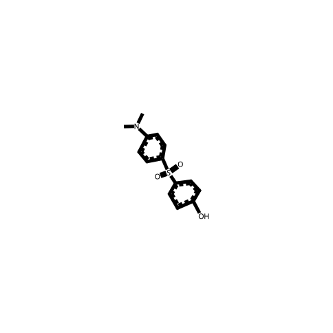 CN(C)c1ccc(S(=O)(=O)c2ccc(O)cc2)cc1